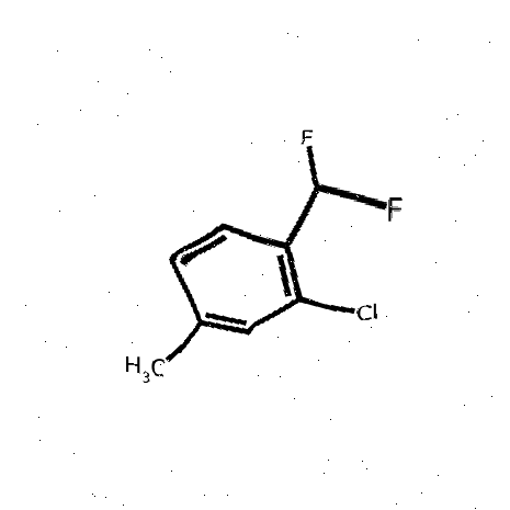 Cc1ccc(C(F)F)c(Cl)c1